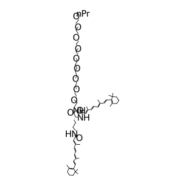 CCCOCCOCCOCCOCCOCCOCCOCCOCCOCCNC(=O)[C@@H](CCCCNC(=O)/C=C(C)/C=C/C=C(C)/C=C/C1=C(C)CCCC1(C)C)NC(=O)/C=C(C)/C=C/C=C(C)/C=C/C1=C(C)CCCC1(C)C